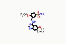 CCOc1cc2c(NCc3cc(S(N)(=O)=O)ccc3OCC(F)(F)F)ncnc2cc1OC